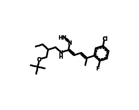 CCC(CN/C(=C/C=C(\C)c1cc(Cl)ccc1F)N=N)COC(C)(C)C